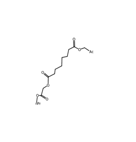 CCCOC(=O)COC(=O)CCCCCCC(=O)OCC(C)=O